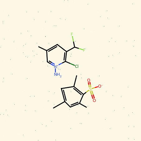 Cc1cc(C(F)F)c(Cl)[n+](N)c1.Cc1cc(C)c(S(=O)(=O)[O-])c(C)c1